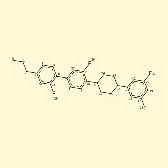 CCCc1ccc(-c2ccc(C3CCC(c4cc(F)cc(F)c4)CC3)c(F)c2)c(F)c1